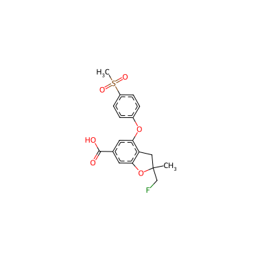 CC1(CF)Cc2c(Oc3ccc(S(C)(=O)=O)cc3)cc(C(=O)O)cc2O1